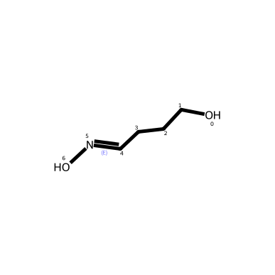 OCCC/C=N/O